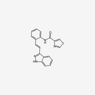 O=C(Nc1ccccc1C=Cc1n[nH]c2ccccc12)c1cscn1